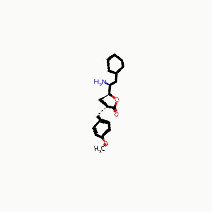 COc1ccc(C[C@@H]2C[C@@H]([C@@H](N)CC3CCCCC3)OC2=O)cc1